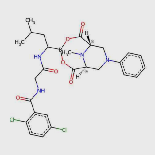 CC(C)CC(NC(=O)CNC(=O)c1cc(Cl)ccc1Cl)B1OC(=O)[C@@H]2CN(c3ccccc3)C[C@@H](C(=O)O1)N2C